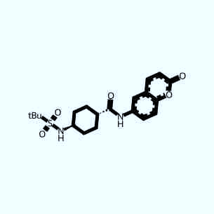 CC(C)(C)S(=O)(=O)N[C@H]1CC[C@H](C(=O)Nc2ccc3oc(=O)ccc3c2)CC1